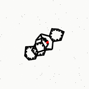 c1ccc2c(c1)C1c3ccccc3C2C2c3ccccc3C1c1ccccc12